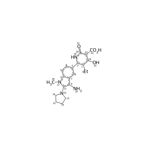 CCc1c(-c2ccc3c(c2)c(N)c(N2CCCC2)n3C)[nH]c(=O)c(C(=O)O)c1O